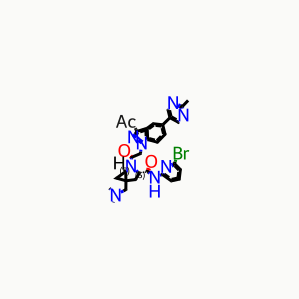 CC(=O)c1nn(CC(=O)N2[C@H]3CC3(CN(C)C)C[C@H]2C(=O)Nc2cccc(Br)n2)c2ccc(-c3cnc(C)nc3)cc12